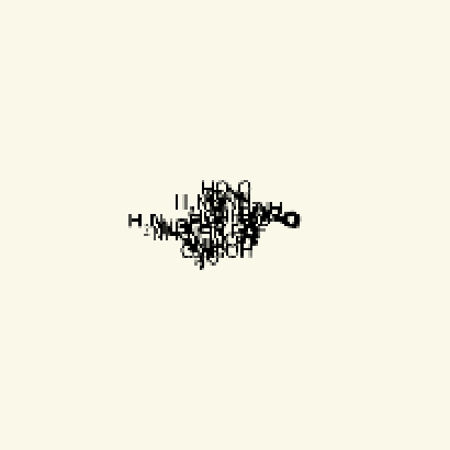 CC[C@H](C)[C@H](NC(=O)[C@@H](CCCNC(=N)N)NC(=O)[C@@H](C)CC(C)C)C(=O)N[C@H](C(=O)NCC(=O)N[C@H](C(=O)N[C@@H](CO)C(=O)NC[C@H](NC(=O)OCc1ccccc1)C(=O)Oc1c(F)c(F)c(F)c(F)c1F)[C@H](O)C(N)=O)[C@H](C)O